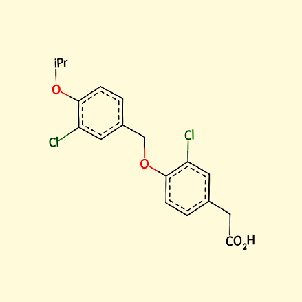 CC(C)Oc1ccc(COc2ccc(CC(=O)O)cc2Cl)cc1Cl